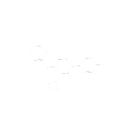 O=C1[C@H](C2COC2)N(Cc2ccc(C(F)(F)F)cc2)C(=O)CN1c1ccc(Cl)cc1F